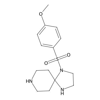 COc1ccc(S(=O)(=O)N2CCNC23CCNCC3)cc1